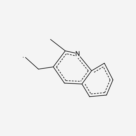 [CH2]Cc1cc2ccccc2nc1C